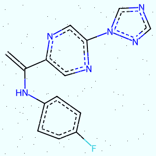 C=C(Nc1ccc(F)cc1)c1cnc(-n2cncn2)cn1